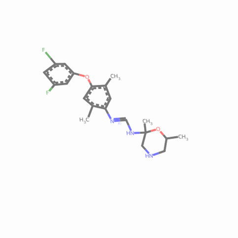 Cc1cc(Oc2cc(F)cc(F)c2)c(C)cc1/N=C/NC1(C)CNCC(C)O1